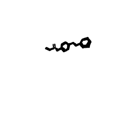 CCNCc1ccc(CCc2ccccc2)cc1